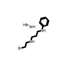 Br.Br.BrCCNCCCNc1ccccc1